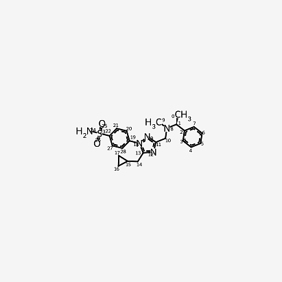 C[C@@H](c1ccccc1)N(C)Cc1nc(CC2CC2)n(-c2ccc(S(N)(=O)=O)cc2)n1